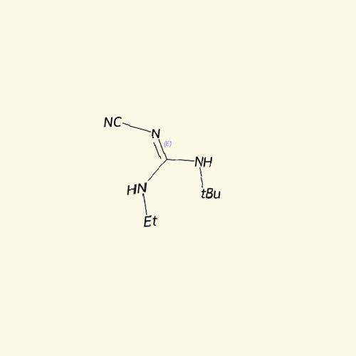 CCN/C(=N\C#N)NC(C)(C)C